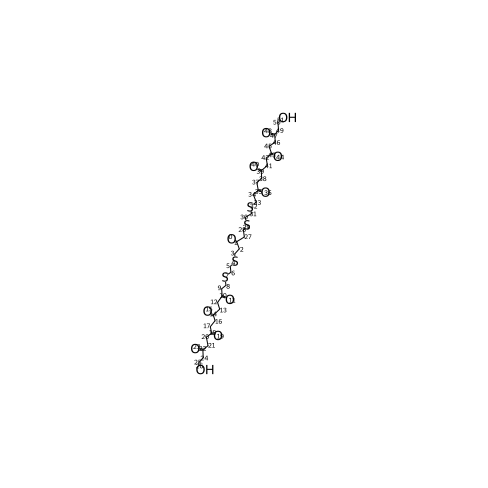 O=C(CCSCCSCCC(=O)CCC(=O)CCC(=O)CCC(=O)CCO)CCSCCSCCC(=O)CCC(=O)CCC(=O)CCC(=O)CCO